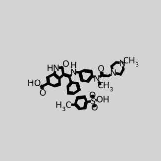 CN1CCN(CC(=O)N(C)c2ccc(N/C(=C3\C(=O)Nc4cc(C(=O)O)ccc43)c3ccccc3)cc2)CC1.Cc1ccc(S(=O)(=O)O)cc1